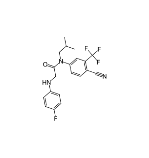 CC(C)CN(C(=O)CNc1ccc(F)cc1)c1ccc(C#N)c(C(F)(F)F)c1